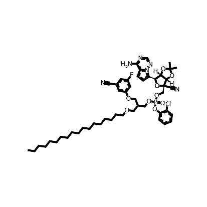 CCCCCCCCCCCCCCCCCCOCC(COc1cc(F)cc(C#N)c1)COP(=O)(OC[C@@]1(C#N)O[C@@H](c2ccc3c(N)ncnn23)[C@@H]2OC(C)(C)O[C@@H]21)Oc1ccccc1Cl